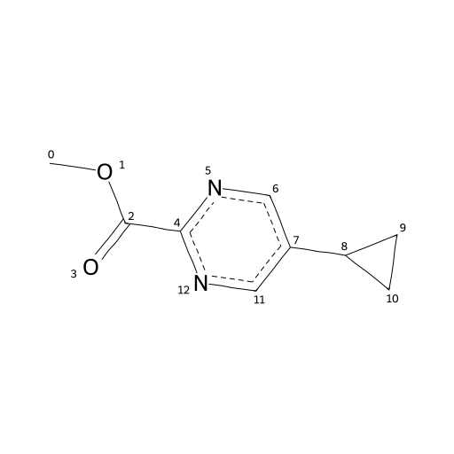 COC(=O)c1ncc(C2CC2)cn1